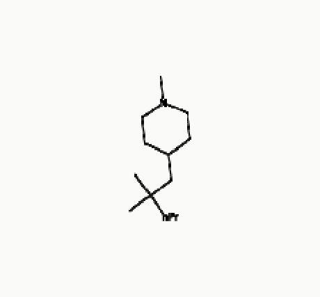 CCCC(C)(C)CC1CCN(C)CC1